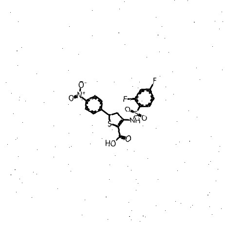 O=C(O)C1=C(NS(=O)(=O)c2ccc(F)cc2F)CC(c2ccc([N+](=O)[O-])cc2)S1